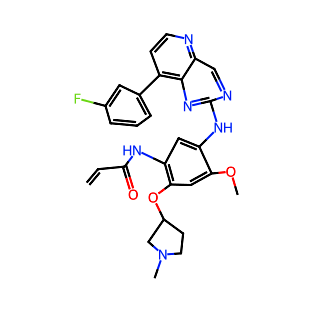 C=CC(=O)Nc1cc(Nc2ncc3nccc(-c4cccc(F)c4)c3n2)c(OC)cc1OC1CCN(C)C1